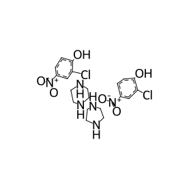 C1CNCCN1.C1CNCCN1.O=[N+]([O-])c1ccc(O)c(Cl)c1.O=[N+]([O-])c1ccc(O)c(Cl)c1